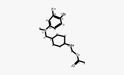 CC(=O)OCNC1CCC(CN(C)c2ccc(Br)c(F)c2)CC1